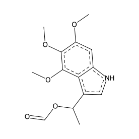 COc1cc2[nH]cc(C(C)OC=O)c2c(OC)c1OC